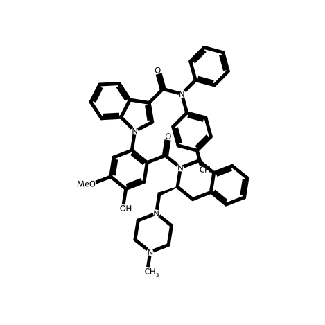 COc1cc(-n2cc(C(=O)N(c3ccccc3)c3ccc(C)cc3)c3ccccc32)c(C(=O)N2Cc3ccccc3C[C@H]2CN2CCN(C)CC2)cc1O